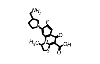 CC1CSc2c(C(=O)O)c(=O)c3cc(F)c(N4CCC(CN)C4)cc3n21